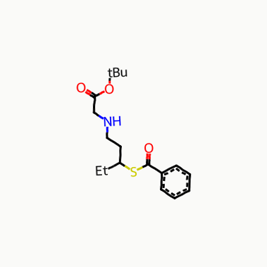 CCC(CCNCC(=O)OC(C)(C)C)SC(=O)c1ccccc1